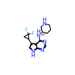 FC1(F)CC1c1c[nH]c2ncnc(N[C@@H]3CCCNC3)c12